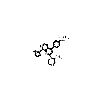 CC1COCCN1c1cc(-c2ccc(S(C)(=O)=O)cc2)c2ccnc(-c3ccn[nH]3)c2n1